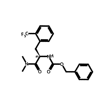 CN(C)C(=O)[C@@H](Cc1ccccc1C(F)(F)F)NC(=O)OCc1ccccc1